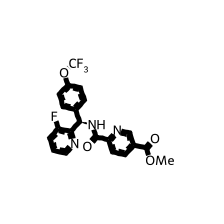 COC(=O)c1ccc(C(=O)N[C@@H](c2ccc(OC(F)(F)F)cc2)c2ncccc2F)nc1